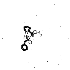 CC(=NNC(=O)Cc1ccccc1)c1ccccn1